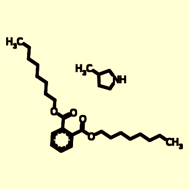 CC1CCNC1.CCCCCCCCOC(=O)c1ccccc1C(=O)OCCCCCCCC